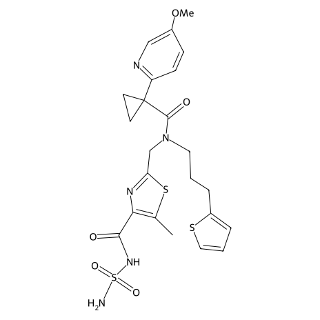 COc1ccc(C2(C(=O)N(CCCc3cccs3)Cc3nc(C(=O)NS(N)(=O)=O)c(C)s3)CC2)nc1